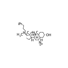 CC(C)CCC[C@@H](C)[C@H]1CC[C@H]2[C@@H]3C[C@@H](N4CC4)[C@@H]4C[C@@H](O)CC[C@]4(C)[C@H]3CC[C@]12C